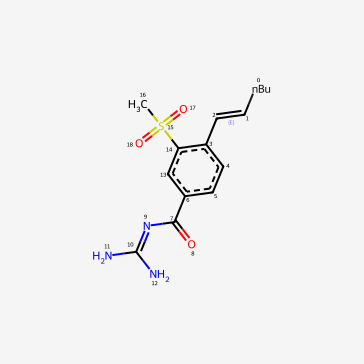 CCCC/C=C/c1ccc(C(=O)N=C(N)N)cc1S(C)(=O)=O